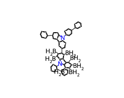 Bc1c(B)c(B)c2c(c1B)c1c(B)c(-c3ccc4c(c3)c3cc(-c5ccccc5)ccc3n4-c3ccc(-c4ccccc4)cc3)c(B)c(B)c1n2-c1ccccc1-c1ccccc1